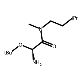 CC(C)CCN(C)C(=O)[C@@H](N)OC(C)(C)C